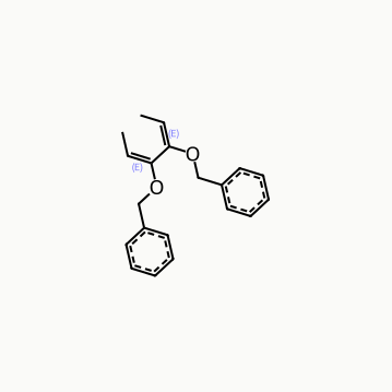 C/C=C(OCc1ccccc1)\C(=C/C)OCc1ccccc1